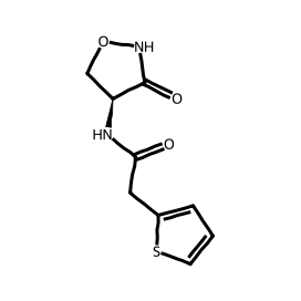 O=C(Cc1cccs1)N[C@H]1CONC1=O